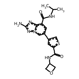 CC(C)NC(=O)c1cc(-c2csc(C(=O)NC3COC3)c2)cn2nc(N)nc12